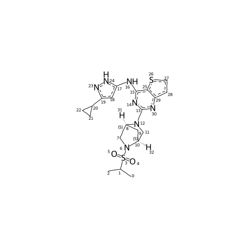 CC(C)S(=O)(=O)N1C[C@@H]2C[C@H]1CN2c1nc(Nc2cc(C3CC3)n[nH]2)c2sccc2n1